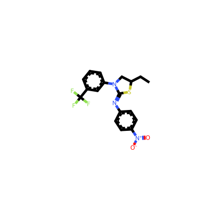 CCC1CN(c2cccc(C(F)(F)F)c2)C(=Nc2ccc([N+](=O)[O-])cc2)S1